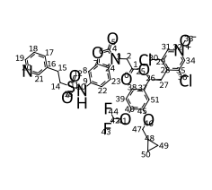 O=C(Cn1c(=O)oc2cc(NS(=O)(=O)CCc3cccnc3)ccc21)O[C@@H](Cc1c(Cl)c[n+]([O-])cc1Cl)c1ccc(OC(F)F)c(OCC2CC2)c1